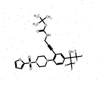 CC(C)(C)OC(=O)NCC#Cc1cc(C(O)(C(F)(F)F)C(F)(F)F)ccc1N1CCN(S(=O)(=O)c2cccs2)CC1